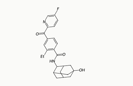 CCc1cc(C(=O)c2ccc(F)cn2)ccc1C(=O)NC1C2CC3CC1CC(O)(C3)C2